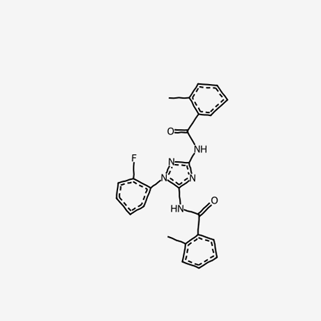 Cc1ccccc1C(=O)Nc1nc(NC(=O)c2ccccc2C)n(-c2ccccc2F)n1